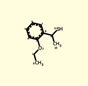 CCOc1ccccc1C(C)S